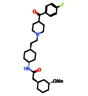 CO[C@@H]1CCC[C@@H](CC(=O)N[C@H]2CC[C@H](CCN3CCC(C(=O)c4ccc(F)cc4)CC3)CC2)C1